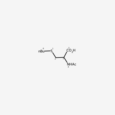 CCCCSCC(NC(C)=O)C(=O)O